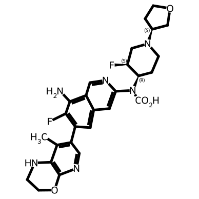 Cc1c(-c2cc3cc(N(C(=O)O)[C@@H]4CCN([C@H]5CCOC5)C[C@@H]4F)ncc3c(N)c2F)cnc2c1NCCO2